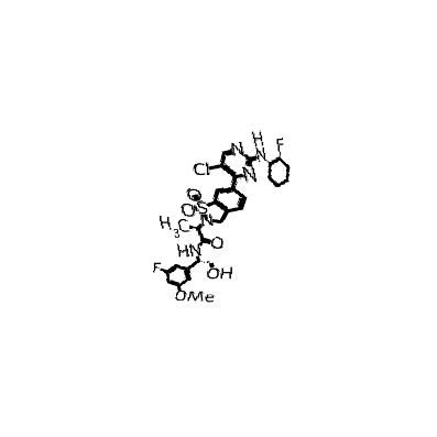 COc1cc(F)cc([C@@H](CO)NC(=O)[C@@H](C)N2Cc3ccc(-c4nc(N[C@H]5CCCC[C@H]5F)ncc4Cl)cc3S2(=O)=O)c1